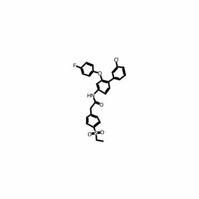 CCS(=O)(=O)c1ccc(CC(=O)Nc2ccc(-c3cccc(Cl)c3)c(Oc3ccc(F)cc3)c2)cc1